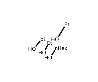 CCCCCCO.CCO.CCO.CCO